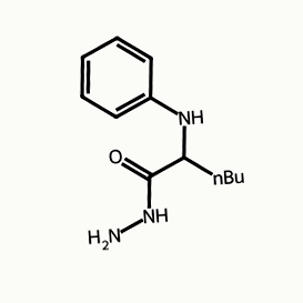 CCCCC(Nc1ccccc1)C(=O)NN